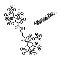 O=C(NCCCCNC(=O)[C@H](OS(=O)(=O)[O-])[C@H](OS(=O)(=O)[O-])[C@@H](OS(=O)(=O)[O-])[C@H](COS(=O)(=O)[O-])OS(=O)(=O)[O-])[C@H](OS(=O)(=O)[O-])[C@H](OS(=O)(=O)[O-])[C@@H](OS(=O)(=O)[O-])[C@H](COS(=O)(=O)[O-])OS(=O)(=O)[O-].[Na+].[Na+].[Na+].[Na+].[Na+].[Na+].[Na+].[Na+].[Na+].[Na+]